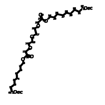 CCCCCCCCCCCCCCCCCCOC(=O)COCCOCCOCC(=O)OCCCCCCCCCCCCCCCCCC